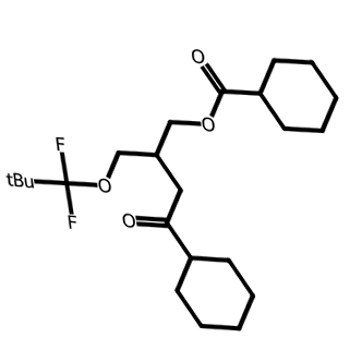 CC(C)(C)C(F)(F)OCC(COC(=O)C1CCCCC1)CC(=O)C1CCCCC1